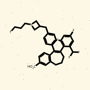 O=C(O)c1ccc2c(c1)CCCC(c1c(F)cc(F)cc1C(F)F)=C2c1ccc(CC2CN(CCCF)C2)cc1